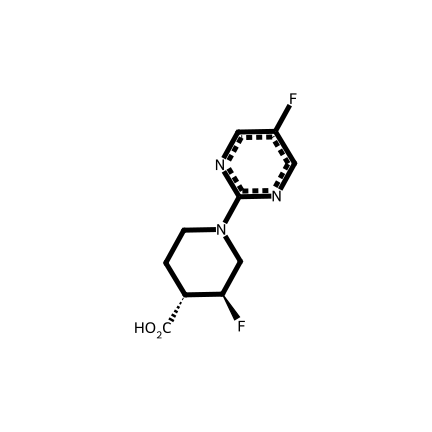 O=C(O)[C@@H]1CCN(c2ncc(F)cn2)C[C@H]1F